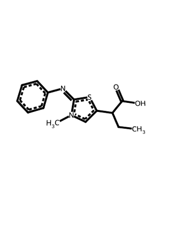 CCC(C(=O)O)c1cn(C)/c(=N\c2ccccc2)s1